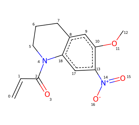 C=CC(=O)N1CCCc2cc(OC)c([N+](=O)[O-])cc21